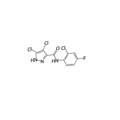 O=C(Nc1ccc(F)cc1Cl)c1n[nH]c(Cl)c1Cl